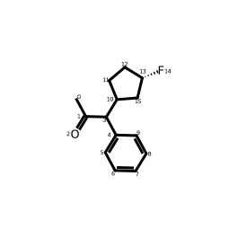 CC(=O)C(c1ccccc1)C1CC[C@H](F)C1